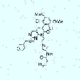 C=CC(=O)NC1CN(CCn2c(=O)c(-c3c(Cl)c(OC)cc(OC)c3Cl)cc3cnc(NCC4CCOC4)nc32)C1